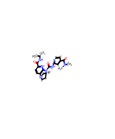 C[C@@H](NC(=O)c1ccc2c(n1)N(C(=O)Nc1cc(C(=O)N(C)C)ccn1)[C@H]1CCN2C1)C(F)(F)F